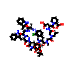 CCCN(CC(=O)N[C@@H](CC(=O)O)C(=O)N1CCCC[C@H]1C(=O)O)C(=O)CN(C)C(=O)[C@H](Cc1cccc(Cl)c1)N(C)C(=O)[C@H](C)N(C)C(=O)CN(C)C(=O)[C@@H](Cc1ccc(OC(C)(C)C)cc1)NC(=O)[C@H](Cc1c[nH]c2ccccc12)N(C)C(=O)[C@H](Cc1c[nH]c2ccccc12)NC(=O)[C@H](C)N